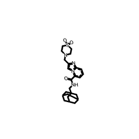 O=C(NCC12CC3CC(CC(C3)C1)C2)c1cccc2nc(CN3CCS(=O)(=O)CC3)cn12